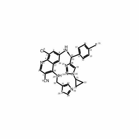 N#Cc1cnc2c(Cl)cc(N[C@@H](c3ccc(F)cc3)c3cn(C4CC4)nn3)cc2c1NCc1cncs1